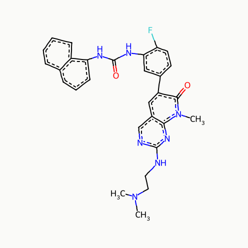 CN(C)CCNc1ncc2cc(-c3ccc(F)c(NC(=O)Nc4cccc5ccccc45)c3)c(=O)n(C)c2n1